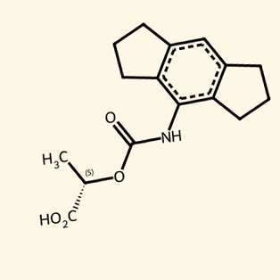 C[C@H](OC(=O)Nc1c2c(cc3c1CCC3)CCC2)C(=O)O